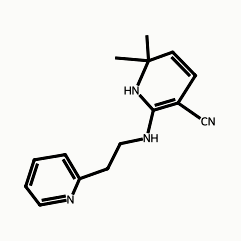 CC1(C)C=CC(C#N)=C(NCCc2ccccn2)N1